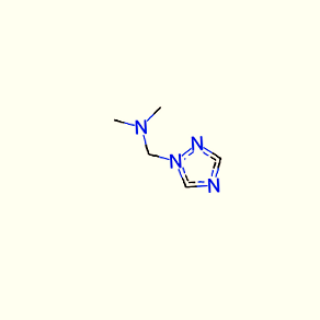 CN(C)Cn1cncn1